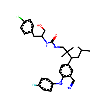 CC(C)CC(c1ccc(Nc2ccc(F)cc2)c(C=N)c1)C(C)(C)CNC(=O)NC(CO)Cc1ccc(Cl)cc1